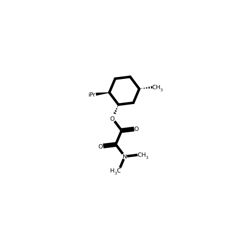 CC(C)[C@H]1CC[C@H](C)C[C@@H]1OC(=O)C(=O)N(C)C